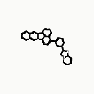 C1=CC(C2CN3CCC=CC3=N2)CC(c2ccc3c4c(cccc24)C2C=c4ccccc4=CC32)=C1